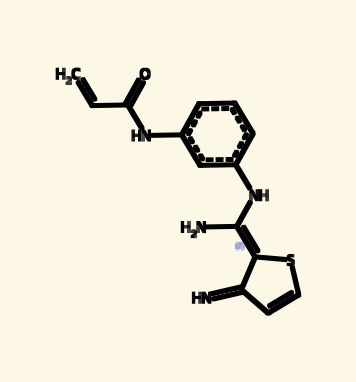 C=CC(=O)Nc1cccc(N/C(N)=C2\SC=CC2=N)c1